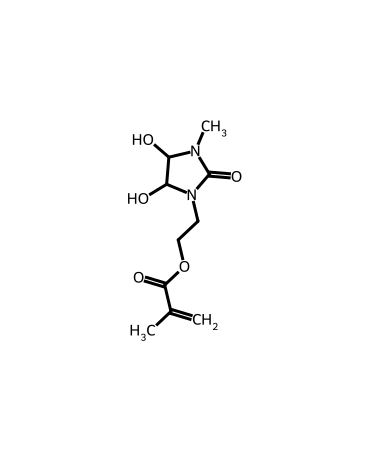 C=C(C)C(=O)OCCN1C(=O)N(C)C(O)C1O